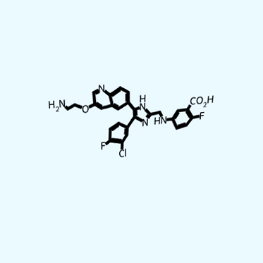 NCCOc1cnc2ccc(-c3[nH]c(CNc4ccc(F)c(C(=O)O)c4)nc3-c3ccc(F)c(Cl)c3)cc2c1